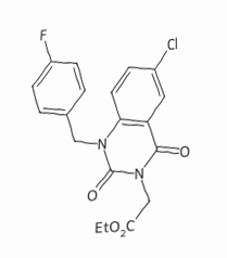 CCOC(=O)Cn1c(=O)c2cc(Cl)ccc2n(Cc2ccc(F)cc2)c1=O